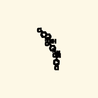 O=C(Nc1ccc2cc(Cl)ccc2n1)C1CCN(c2nnc(-c3ccc(Cl)cc3)o2)CC1